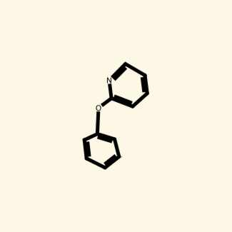 [c]1cccc(Oc2ccccn2)c1